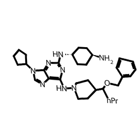 CCCC(OCc1ccccc1)C1CCN(Nc2nc(N[C@H]3CC[C@H](N)CC3)nc3c2ncn3C2CCCC2)CC1